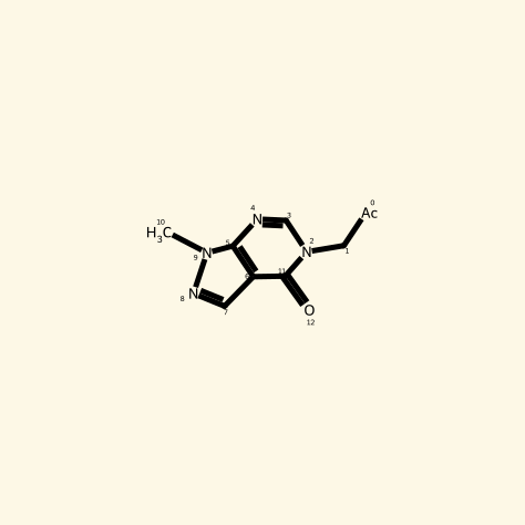 CC(=O)Cn1cnc2c(cnn2C)c1=O